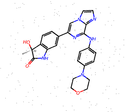 C[C@@]1(O)C(=O)Nc2cc(-c3cn4ccnc4c(Nc4ccc(N5CCOCC5)cc4)n3)ccc21